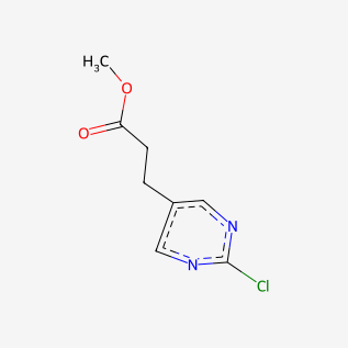 COC(=O)CCc1cnc(Cl)nc1